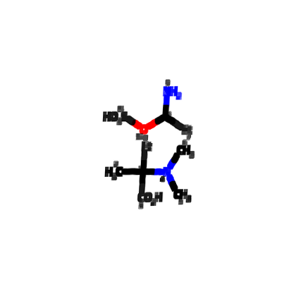 CCC(C)(C(=O)O)N(C)C.CCC(N)OS(=O)(=O)O